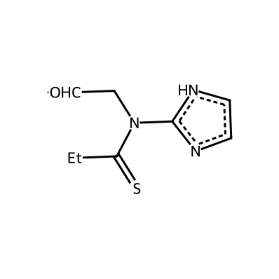 CCC(=S)N(C[C]=O)c1ncc[nH]1